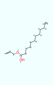 C=CCOC(O)CCCCCCCCCC(C)C